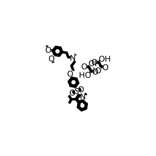 COc1ccc(CCN(C)CCCOc2ccc(S(=O)(=O)c3c(C(C)C)c4ccccc4n3C)cc2)cc1OC.O=C(O)C(=O)O.O=C(O)C(=O)O